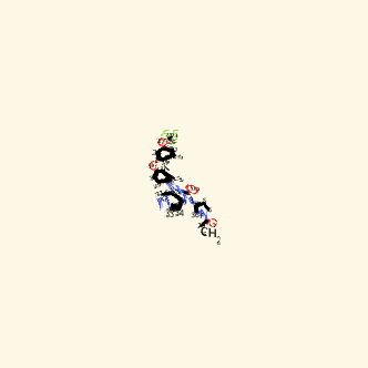 C=CC(=O)N1CC[C@@H](n2c(=O)n(-c3ccc(Oc4cccc(OC(F)(F)F)c4)cc3)c3cnccc32)C1